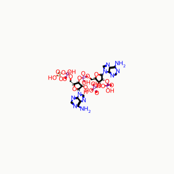 Nc1ncnc2c1ncn2[C@@H]1O[C@H](COP(=O)(O)OS(=O)(=O)O)[C@@H](OP(=O)(O)OC[C@H]2O[C@@H](n3cnc4c(N)ncnc43)[C@H](OP(=O)(O)O)[C@@H]2OP(=O)(O)O)[C@H]1O